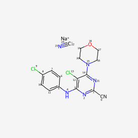 N#Cc1nc(Nc2ccc(Cl)cc2)c(Cl)c(N2CCOCC2)n1.[C-]#N.[Na+]